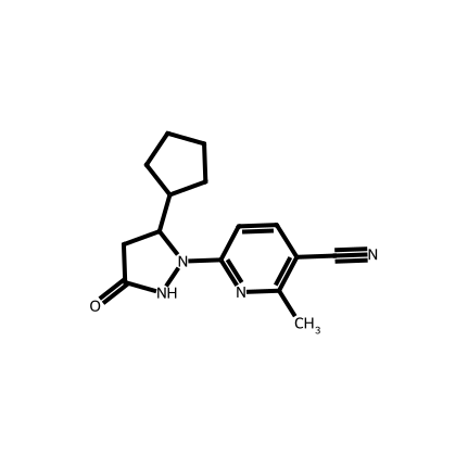 Cc1nc(N2NC(=O)CC2C2CCCC2)ccc1C#N